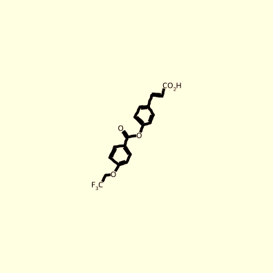 O=C(O)/C=C/c1ccc(OC(=O)c2ccc(OCC(F)(F)F)cc2)cc1